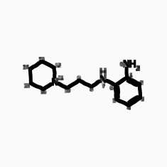 Nc1ccccc1NCCCN1CCCCC1